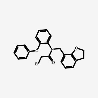 O=C(CBr)N(Cc1cccc2c1OCC2)c1ccccc1Oc1ccccc1